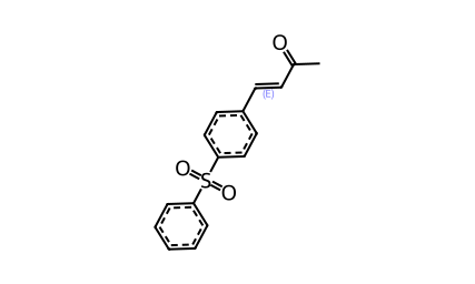 CC(=O)/C=C/c1ccc(S(=O)(=O)c2ccccc2)cc1